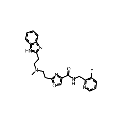 CN(CCc1nc2ccccc2[nH]1)CCc1nc(C(=O)NCc2ncccc2F)co1